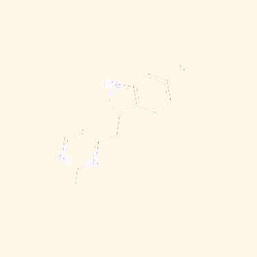 O=[N+]([O-])c1ccc2c(Cc3ccnc(Cl)n3)c[nH]c2c1